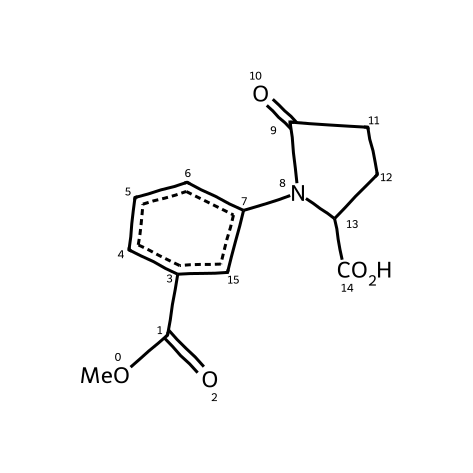 COC(=O)c1cccc(N2C(=O)CCC2C(=O)O)c1